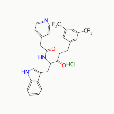 Cl.O=C(Cc1ccncc1)NC(Cc1c[nH]c2ccccc12)C(=O)CCc1cc(C(F)(F)F)cc(C(F)(F)F)c1